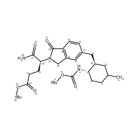 CC1CC[C@H](NC(=O)OC(C)(C)C)[C@@H](Cc2ccc3c(c2)CN([C@@H](CCC(=O)OC(C)(C)C)C(N)=O)C3=O)C1